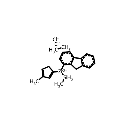 CC.C[SiH2][Zr+2]([C]1=CC(C)=CC1)[c]1cccc2c1Cc1ccccc1-2.[Cl-].[Cl-]